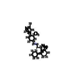 COc1cc(/C=C/Cc2nnc3n2[C@H](c2ccccc2)CCC3)ccc1-n1cnc(C)c1